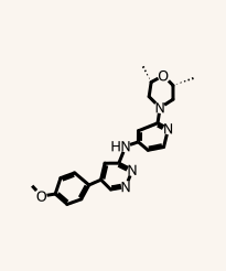 COc1ccc(-c2cnnc(Nc3ccnc(N4C[C@@H](C)O[C@@H](C)C4)c3)c2)cc1